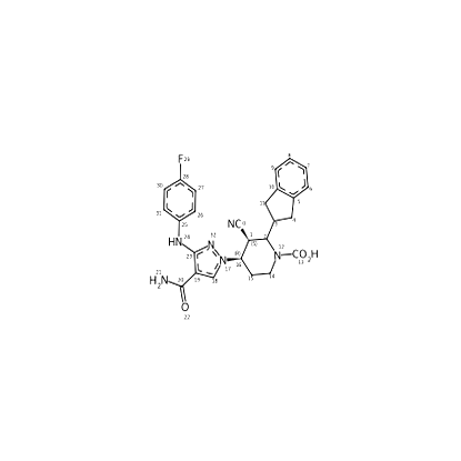 N#C[C@H]1C(C2Cc3ccccc3C2)N(C(=O)O)CC[C@H]1n1cc(C(N)=O)c(Nc2ccc(F)cc2)n1